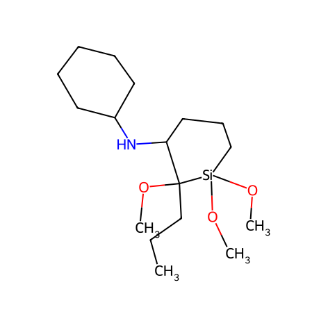 CCCC1(OC)C(NC2CCCCC2)CCC[Si]1(OC)OC